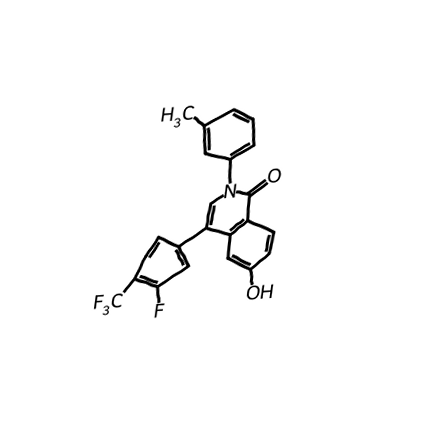 Cc1cccc(-n2cc(-c3ccc(C(F)(F)F)c(F)c3)c3cc(O)ccc3c2=O)c1